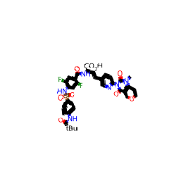 Cn1c2c(c(=O)n(-c3ccc(CC[C@H](NC(=O)c4cc(F)c(NS(=O)(=O)c5ccc(NC(=O)C(C)(C)C)cc5)cc4F)C(=O)O)cn3)c1=O)COCC2